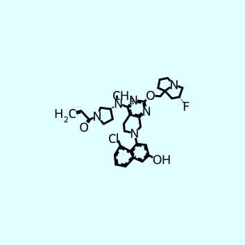 C=CC(=O)N1CC[C@@H](N(C)c2nc(OCC34CCCN3C[C@H](F)C4)nc3c2CCN(c2cc(O)cc4cccc(Cl)c24)C3)C1